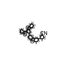 N#Cc1cccc(-c2ccc3oc4ccc(-c5cc6c7ccccc7oc6c6c5oc5ccccc56)cc4c3c2)c1